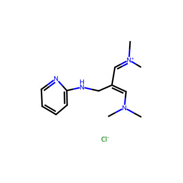 CN(C)/C=C(/C=[N+](C)C)CNc1ccccn1.[Cl-]